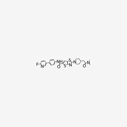 CN(C)C(=O)CC1CCN(c2nc3sc(C(=O)Nc4ccc(-c5ccc(F)nc5)cc4)cc3s2)CC1